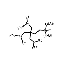 CCCN(CC)CC(CC[Si](C)(OC)OC)(CN(CC)CCC)CN(CC)CCC